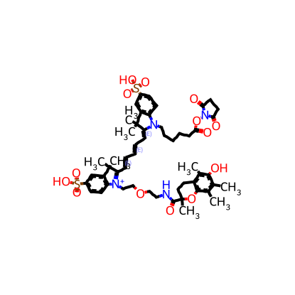 Cc1c(C)c2c(c(C)c1O)CCC(C)(C(=O)NCCOCC[N+]1=C(/C=C/C=C/C=C3/N(CCCCCC(=O)ON4C(=O)CCC4=O)c4ccc(S(=O)(=O)O)cc4C3(C)C)C(C)(C)c3cc(S(=O)(=O)O)ccc31)O2